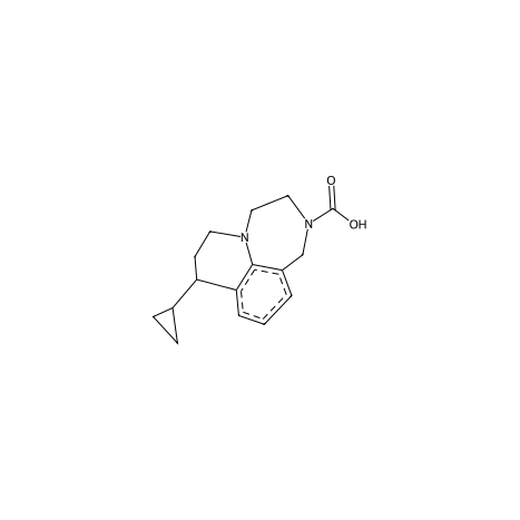 O=C(O)N1CCN2CCC(C3CC3)c3cccc(c32)C1